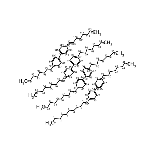 CCCCCCCCCCSc1ccc(-c2ccc(CCCCCCCC)cc2)cc1.CCCCCCCCCSc1ccc(-c2ccc(CCCCCCCC)cc2)cc1.CCCCCCCCSc1ccc(-c2ccc(CCCCCCCC)cc2)cc1.CCCCCCCCc1ccc(-c2ccc(SCCCCCCC)cc2)cc1